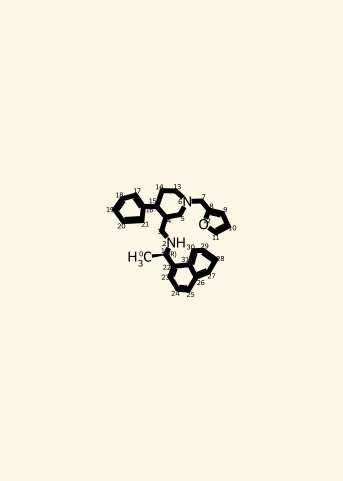 C[C@@H](NCC1CN(Cc2ccco2)CCC1c1ccccc1)c1cccc2ccccc12